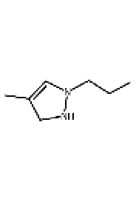 CCCN1C=C(C)CN1